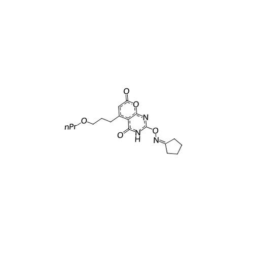 CCCOCCCc1cc(=O)oc2nc(ON=C3CCCC3)[nH]c(=O)c12